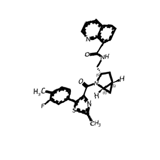 Cc1nc(C(=O)N2[C@H](CNC(=O)c3cccc4cccnc34)C[C@@H]3C[C@@H]32)c(-c2ccc(C)c(F)c2)s1